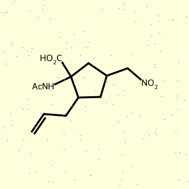 C=CCC1CC(C[N+](=O)[O-])CC1(NC(C)=O)C(=O)O